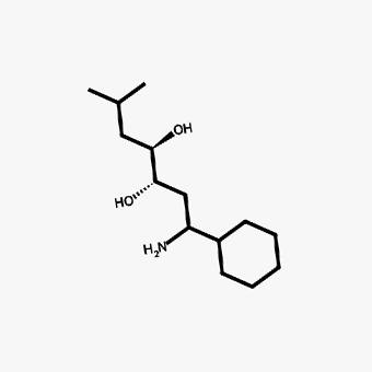 CC(C)C[C@@H](O)[C@@H](O)CC(N)C1CCCCC1